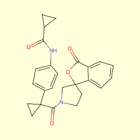 O=C1OC2(CCN(C(=O)C3(c4ccc(NC(=O)C5CC5)cc4)CC3)C2)c2ccccc21